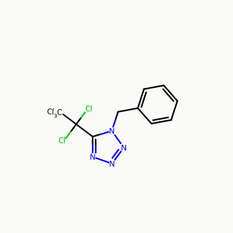 ClC(Cl)(Cl)C(Cl)(Cl)c1nnnn1Cc1ccccc1